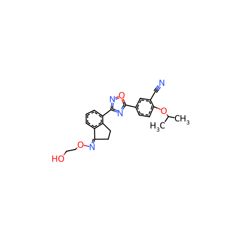 CC(C)Oc1ccc(-c2nc(-c3cccc4c3CC/C4=N/OCCO)no2)cc1C#N